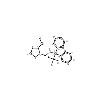 CO[C@@H]1COC[C@@H]1CO[Si](c1ccccc1)(c1ccccc1)C(C)(C)C